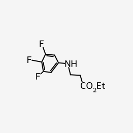 CCOC(=O)CCNc1cc(F)c(F)c(F)c1